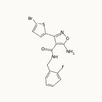 Nc1onc(-c2ccc(Br)s2)c1C(=O)NCc1ccccc1F